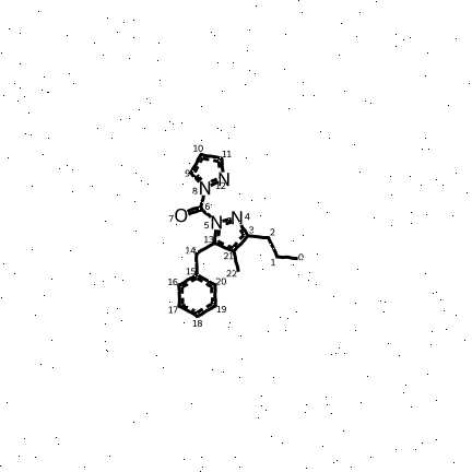 CCCc1nn(C(=O)n2cccn2)c(Cc2ccccc2)c1C